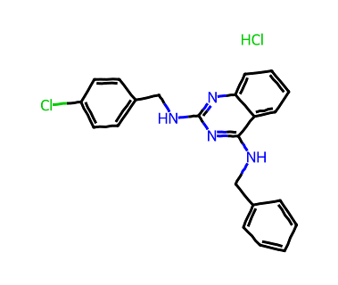 Cl.Clc1ccc(CNc2nc(NCc3ccccc3)c3ccccc3n2)cc1